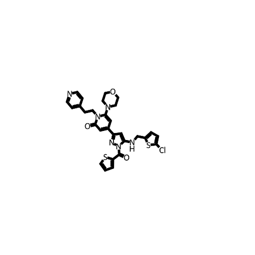 O=C(c1cccs1)n1nc(-c2cc(N3CCOCC3)n(CCc3ccncc3)c(=O)c2)cc1NCc1ccc(Cl)s1